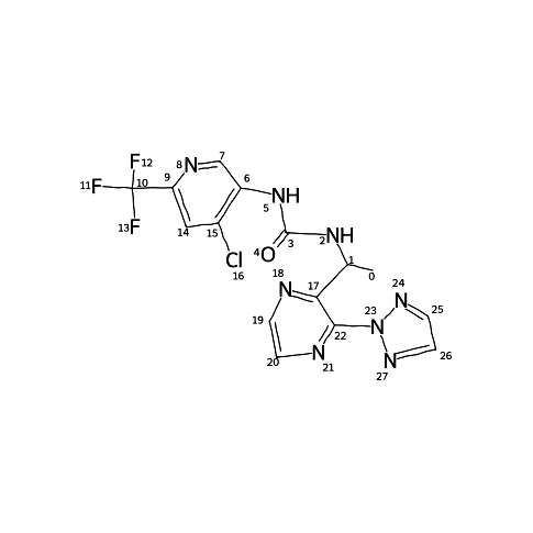 CC(NC(=O)Nc1cnc(C(F)(F)F)cc1Cl)c1nccnc1-n1nccn1